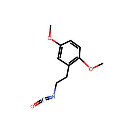 COc1ccc(OC)c(CCN=C=O)c1